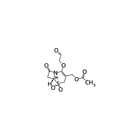 CC(=O)OCC1=C(OCC=O)N2C(=O)C[C@H]2S(=O)(=O)C1